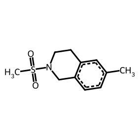 Cc1ccc2c(c1)CCN(S(C)(=O)=O)C2